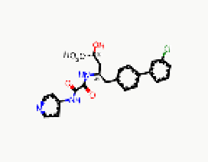 O=C(Nc1ccncc1)C(=O)N[C@H](Cc1ccc(-c2cccc(Cl)c2)cc1)C[C@@H](O)C(=O)O